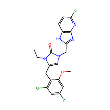 CCn1c(Cc2c(Cl)cc(Cl)cc2OC)cn(Cc2nc3nc(Cl)ccc3[nH]2)c1=O